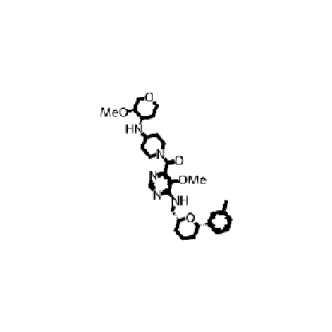 COc1c(NC[C@H]2CCC[C@@H](c3cccc(C)c3)O2)ncnc1C(=O)N1CCC(N[C@@H]2CCOC[C@@H]2OC)CC1